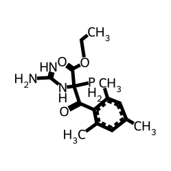 CCOC(=O)C(P)(NC(=N)N)C(=O)c1c(C)cc(C)cc1C